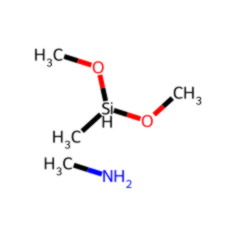 CN.CO[SiH](C)OC